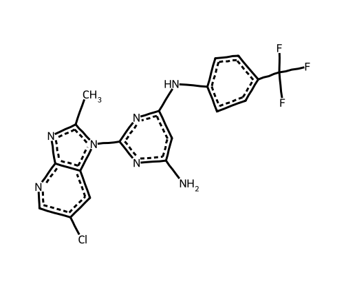 Cc1nc2ncc(Cl)cc2n1-c1nc(N)cc(Nc2ccc(C(F)(F)F)cc2)n1